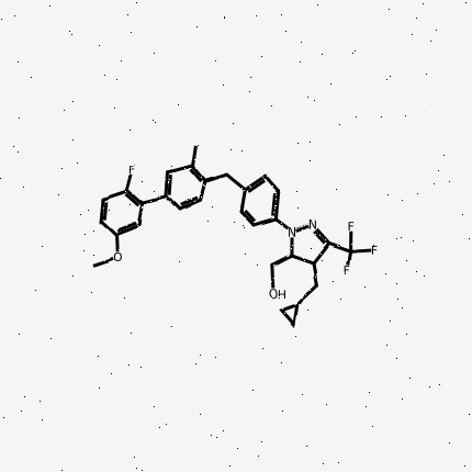 COc1ccc(F)c(-c2ccc(Cc3ccc(N4N=C(C(F)(F)F)C(CC5CC5)C4CO)cc3)c(C)c2)c1